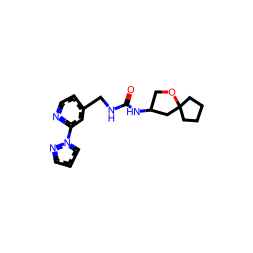 O=C(NCc1ccnc(-n2cccn2)c1)NC1COC2(CCCC2)C1